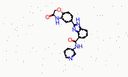 O=C1COc2ccc(-c3nc4c(C(=O)Nc5cccnc5)cccc4[nH]3)cc2N1